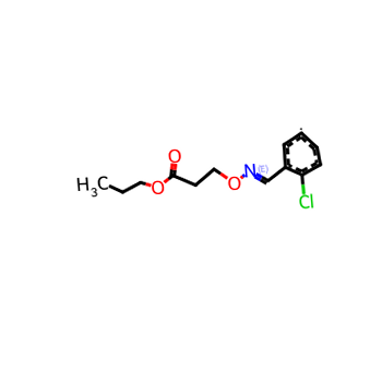 CCCOC(=O)CCO/N=C/c1c[c]ccc1Cl